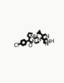 O=C(C(c1ccc(Cl)cc1)C1CCCN1)N1CCN(c2c(C3CC3)cnc3[nH]ncc23)CC1